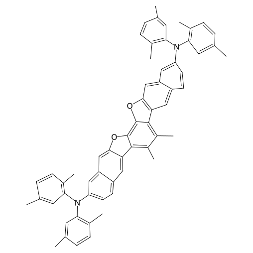 Cc1ccc(C)c(N(c2ccc3cc4c(cc3c2)oc2c3oc5cc6cc(N(c7cc(C)ccc7C)c7cc(C)ccc7C)ccc6cc5c3c(C)c(C)c42)c2cc(C)ccc2C)c1